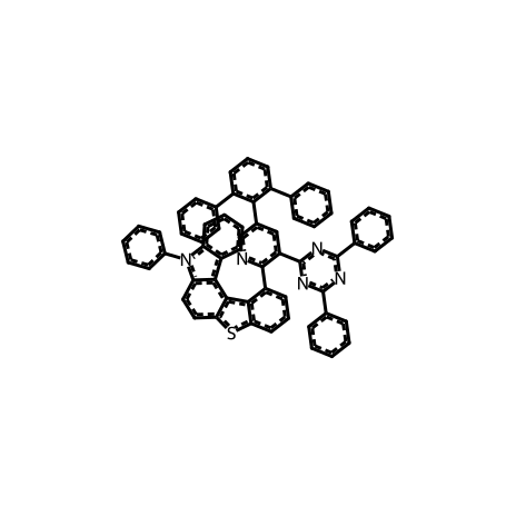 c1ccc(-c2nc(-c3ccccc3)nc(-c3cc(-c4c(-c5ccccc5)cccc4-c4ccccc4)cnc3-c3cccc4sc5ccc6c(c7ccccc7n6-c6ccccc6)c5c34)n2)cc1